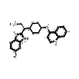 CC[C@H](c1nc2ccc(Cl)cc2[nH]1)C1CCC(Oc2ccnc3ccccc23)CC1